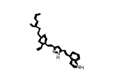 C=C/C(=C\C=C/C)CCc1ccc(/C=C/c2cc(/C=C/c3cccc4[nH]ccc34)[nH]n2)c(C=C)c1